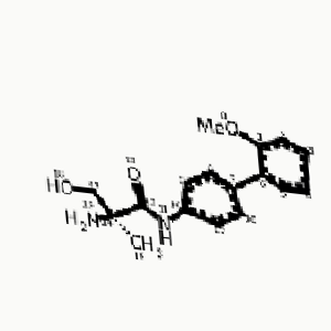 COc1ccccc1-c1ccc(NC(=O)[C@@](C)(N)CO)cc1